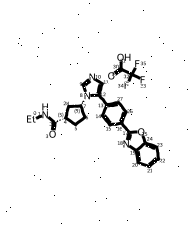 CCNC(=O)[C@H]1CC[C@@H](n2cncc2-c2ccc(-c3nc4ccccc4o3)cc2)C1.O=C(O)C(F)(F)F